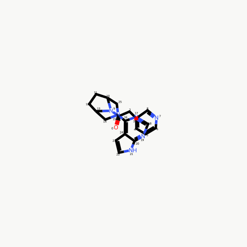 O=C(Cc1cccnc1)N1C2CCC1CN(c1ncnc3[nH]ccc13)C2